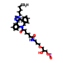 O=POCC(O)COCCCNC(=O)CCCCC(=O)N1Cc2ccccc2-c2c(nnn2CCCCC(=O)O)-c2ccccc21